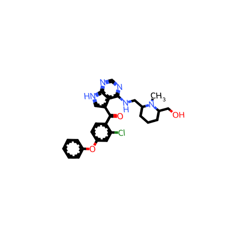 CN1C(CO)CCCC1CNc1ncnc2[nH]cc(C(=O)c3ccc(Oc4ccccc4)cc3Cl)c12